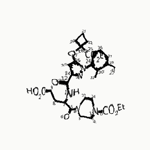 CCOC(=O)N1CCN(C(=O)C(CCC(=O)O)NC(=O)c2cc(OC3(C(=O)OCC)CCC3)n(-c3cccc(C)c3C)n2)CC1